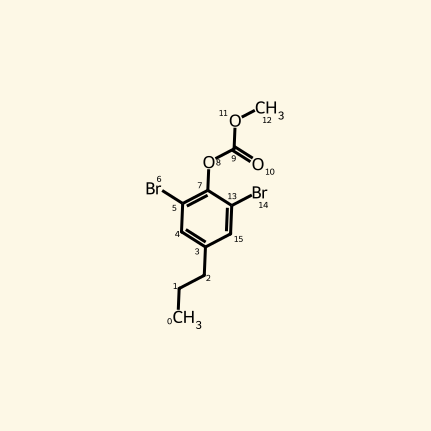 CCCc1cc(Br)c(OC(=O)OC)c(Br)c1